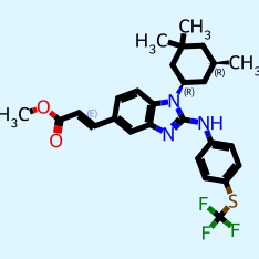 COC(=O)/C=C/c1ccc2c(c1)nc(Nc1ccc(SC(F)(F)F)cc1)n2[C@@H]1C[C@H](C)CC(C)(C)C1